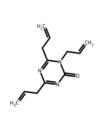 C=CCc1nc(CC=C)n(CC=C)c(=O)n1